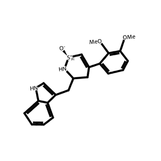 COc1cccc(C2=C[S@+]([O-])NC(Cc3c[nH]c4ccccc34)C2)c1OC